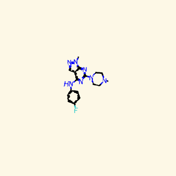 CN1CCN(c2nc(Nc3ccc(F)cc3)c3cnn(C)c3n2)CC1